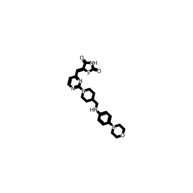 O=C1NC(=O)C(=Cc2ccnc(N3CCC(CNc4ccc(N5CCOCC5)cc4)CC3)n2)S1